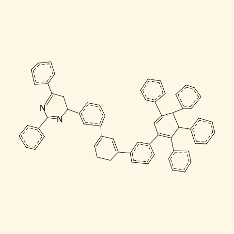 C1=C(c2cccc(C3CC(c4ccccc4)=NC(c4ccccc4)=N3)c2)C=C(c2cccc(C3=C(c4ccccc4)C(c4ccccc4)C(c4ccccc4)C(c4ccccc4)=C3)c2)CC1